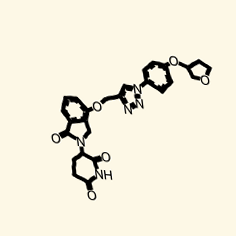 O=C1CCC(N2Cc3c(OCc4cn(-c5ccc(OC6CCOC6)cc5)nn4)cccc3C2=O)C(=O)N1